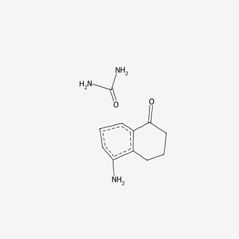 NC(N)=O.Nc1cccc2c1CCCC2=O